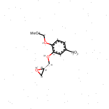 COCOc1ccc([N+](=O)[O-])cc1OC[C@@H]1CO1